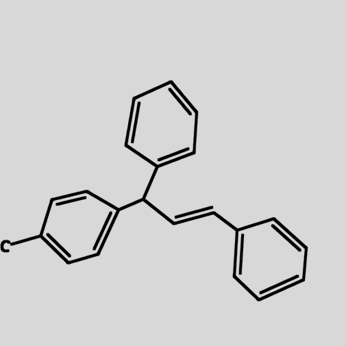 Cc1ccc(C(/C=C/c2ccccc2)c2ccccc2)cc1